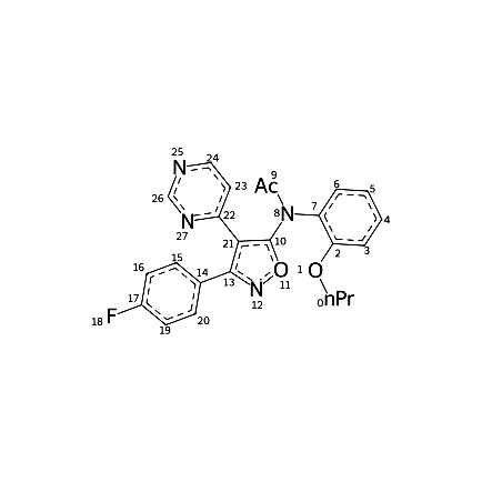 CCCOc1ccccc1N(C(C)=O)c1onc(-c2ccc(F)cc2)c1-c1ccncn1